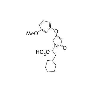 COc1cccc(OC2=CC(=O)N(C(CC3CCCCC3)C(=O)O)C2)c1